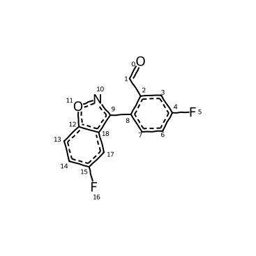 O=Cc1cc(F)ccc1-c1noc2ccc(F)cc12